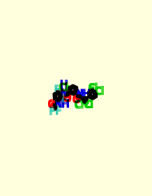 O=C(Nc1c(F)ccc(NC(=O)C(F)F)c1F)c1cc(NC(=O)[C@H]2[C@H](c3ccc(Cl)c(Cl)c3)C2(Cl)Cl)ccc1Cl